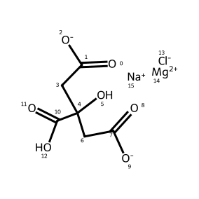 O=C([O-])CC(O)(CC(=O)[O-])C(=O)O.[Cl-].[Mg+2].[Na+]